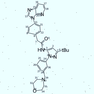 CC(C)(C)c1cc(NC(=O)Cc2ccc(-n3cnc4cccnc43)cc2)n(-c2cccc(CN3CCOCC3)c2)n1